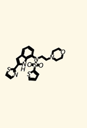 O=S(=O)(c1cccs1)N(CCN1CCOCC1)c1cccc2cc(-c3nccs3)[nH]c12